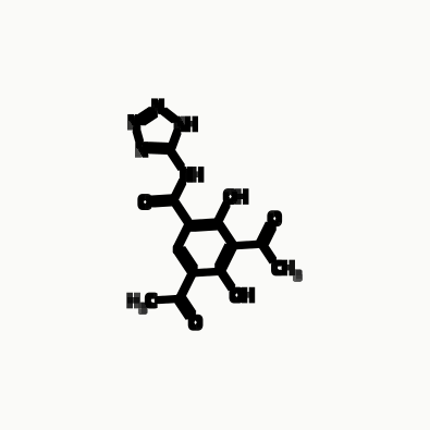 CC(=O)c1cc(C(=O)Nc2nnn[nH]2)c(O)c(C(C)=O)c1O